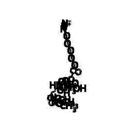 CC(C)(C)OC(=O)N1CCCc2ccc(CCCC(=O)NC(C)(C)C(=O)N[C@@H](CC(=O)O)c3ccc(-c4ccc(OCCOCCOCCOCCOCCN=[N+]=[N-])c5ccccc45)cc3)nc21